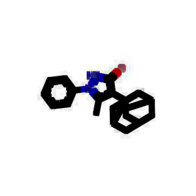 Cc1c(C23CC4CC(CC(C4)C2)C3)c(=O)[nH]n1-c1ccccc1